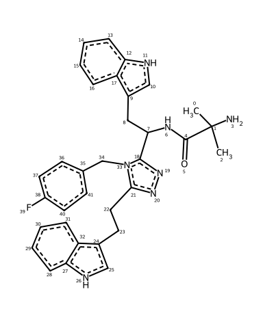 CC(C)(N)C(=O)NC(Cc1c[nH]c2ccccc12)c1nnc(CCc2c[nH]c3ccccc23)n1Cc1ccc(F)cc1